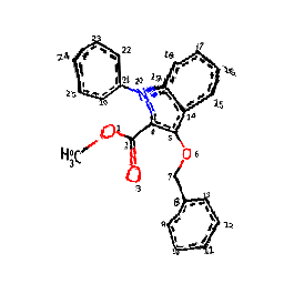 COC(=O)c1c(OCc2ccccc2)c2ccccc2n1-c1ccccc1